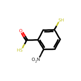 O=C(S)c1cc(S)ccc1[N+](=O)[O-]